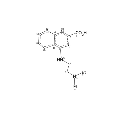 CCN(CC)CCNc1cc(C(=O)O)nc2ccccc12